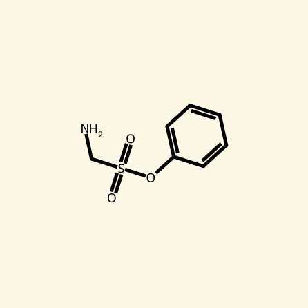 NCS(=O)(=O)Oc1ccccc1